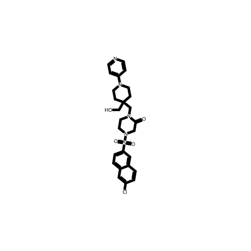 O=C1CN(S(=O)(=O)c2ccc3cc(Cl)ccc3c2)CCN1CC1(CO)CCN(c2ccncc2)CC1